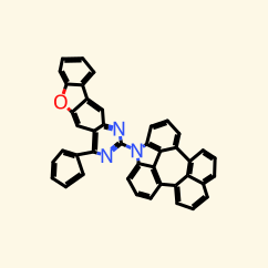 c1ccc(-c2nc(-n3c4cccc5c4c4c(cccc43)-c3cccc4cccc-5c34)nc3cc4c(cc23)oc2ccccc24)cc1